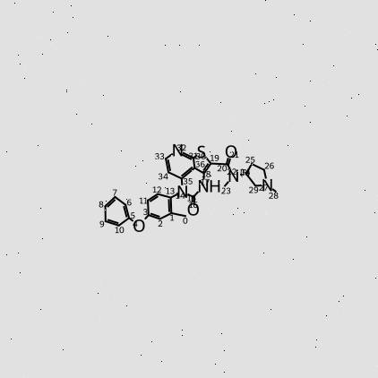 Cc1cc(Oc2ccccc2)ccc1N1C(=O)Nc2c(C(=O)N(C)[C@@H]3CCN(C)C3)sc3nccc1c23